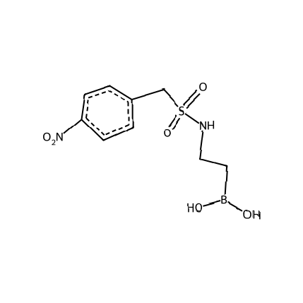 O=[N+]([O-])c1ccc(CS(=O)(=O)NCCB(O)O)cc1